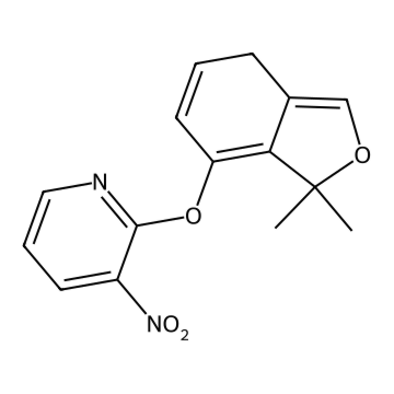 CC1(C)OC=C2CC=CC(Oc3ncccc3[N+](=O)[O-])=C21